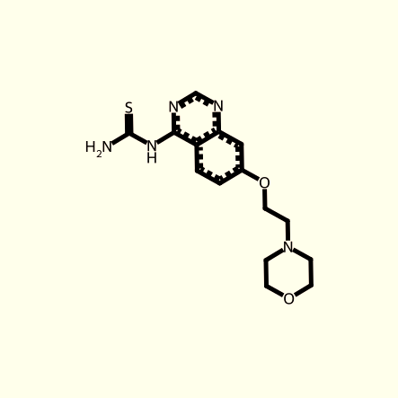 NC(=S)Nc1ncnc2cc(OCCN3CCOCC3)ccc12